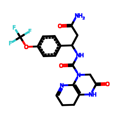 NC(=O)CC(NC(=O)N1CC(=O)NC2=C1N=CCC2)c1ccc(OC(F)(F)F)cc1